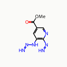 COC(=O)c1cnc(N=N)c(NN=N)c1